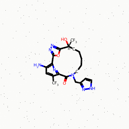 Nc1cc(C(F)(F)F)c2nc1-c1nnc(o1)[C@@](O)(C(F)(F)F)CCCCCN(Cc1cc[nH]n1)C2=O